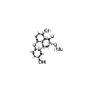 CC(C)(C)On1cc2c3c(ccc(O)c3c1=O)Oc1ccc(O)cc1-2